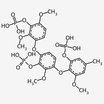 COc1cc(C)cc(OP(=O)(O)O)c1Oc1ccc(Oc2ccc(OC)c(OP(=O)(O)O)c2OC)c(OP(=O)(O)O)c1OC